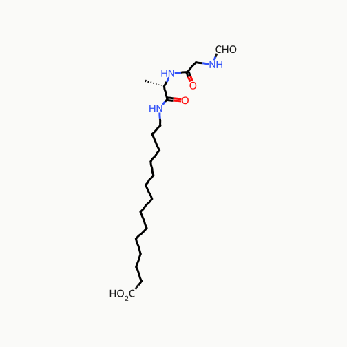 C[C@H](NC(=O)CNC=O)C(=O)NCCCCCCCCCCCCCC(=O)O